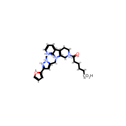 Cn1nc(-c2ccco2)cc1Cn1c2c(c3cccnc31)CCN(C(=O)CCCCC(=O)O)C2